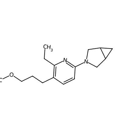 CCc1nc(N2CC3CC3C2)ccc1CCCOC